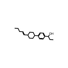 CCCC=CC1CCC(c2ccc(C(O)CC)cc2)CC1